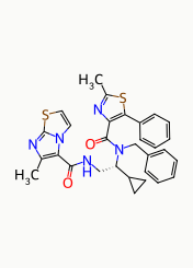 Cc1nc(C(=O)N(Cc2ccccc2)[C@@H](CNC(=O)c2c(C)nc3sccn23)C2CC2)c(-c2ccccc2)s1